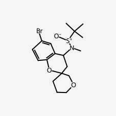 CN(C1CC2(CCCOC2)Oc2ccc(Br)cc21)[S+]([O-])C(C)(C)C